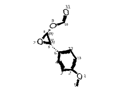 COc1ccc([C@@H]2O[C@@H]2OC=O)cc1